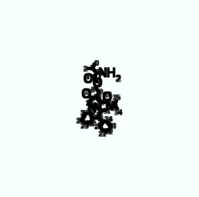 CC(C)C(N)C(=O)OCCc1c2n(ncc1=O)C(C(c1ccccc1)c1ccccc1)CN(C(C)C)C2=O